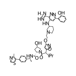 Cc1ncsc1-c1ccc([C@H](C)NC(=O)[C@@H]2C[C@@H](O)CN2C(=O)C(c2cc(OCCN3CCCC(Nc4cc(-c5ccccc5O)nnc4C(=N)N)C3)no2)C(C)C)cc1